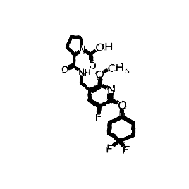 COc1nc(OC2CCC(F)(F)CC2)c(F)cc1CNC(=O)C1CCCN1C(=O)O